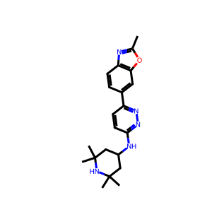 Cc1nc2ccc(-c3ccc(NC4CC(C)(C)NC(C)(C)C4)nn3)cc2o1